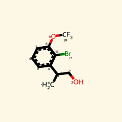 [CH2]C(CO)c1cccc(OC(F)(F)F)c1Br